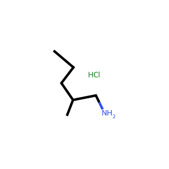 CCCC(C)CN.Cl